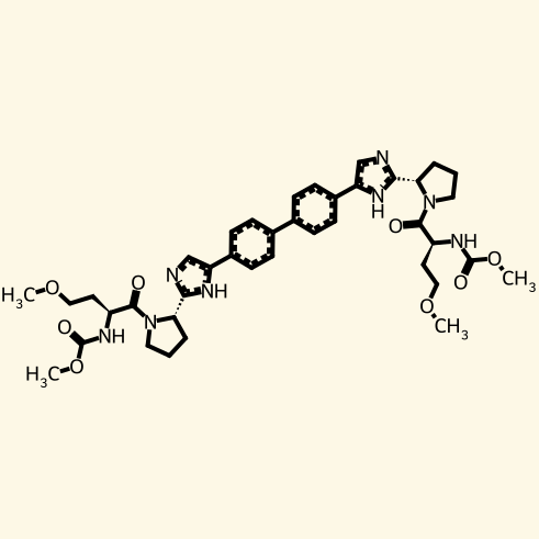 COCC[C@H](NC(=O)OC)C(=O)N1CCC[C@H]1c1ncc(-c2ccc(-c3ccc(-c4cnc([C@@H]5CCCN5C(=O)[C@H](CCOC)NC(=O)OC)[nH]4)cc3)cc2)[nH]1